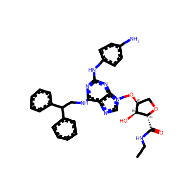 CCNC(=O)[C@H]1OC[C@H](On2cnc3c(NCC(c4ccccc4)c4ccccc4)nc(Nc4ccc(N)cc4)nc32)[C@@H]1O